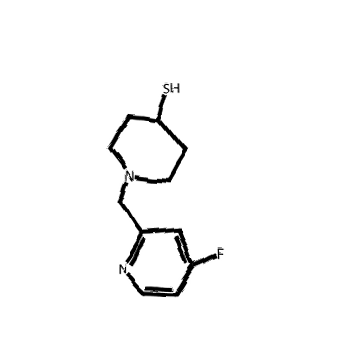 Fc1ccnc(CN2CCC(S)CC2)c1